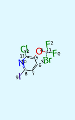 FC(F)(Br)Oc1ccc(I)nc1Cl